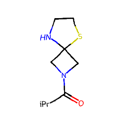 CC(C)C(=O)N1CC2(C1)NCCS2